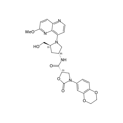 COc1ccc2nccc(N3C[C@H](NC(=O)[C@@H]4CN(c5ccc6c(c5)OCCO6)C(=O)O4)C[C@H]3CO)c2n1